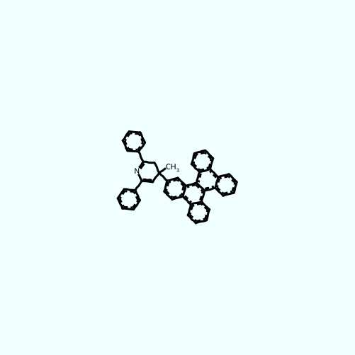 CC1(c2ccc3c4ccccc4c4c5ccccc5c5ccccc5c4c3c2)C=C(c2ccccc2)N=C(c2ccccc2)C1